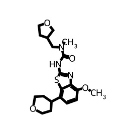 COc1ccc(C2CCOCC2)c2sc(NC(=O)N(C)CC3CCOC3)nc12